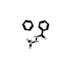 O=C(NN[SH](=O)=O)c1ccccc1.c1ccccc1